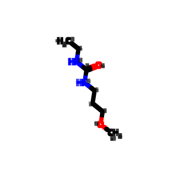 [CH2]CNC(=O)NCCCOC